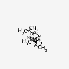 CCN1CC2CN(C(C)C)C(C1)C(C)(C)C2